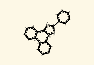 c1ccc(-c2nc3c4ccccc4c4ccccc4c3s2)cc1